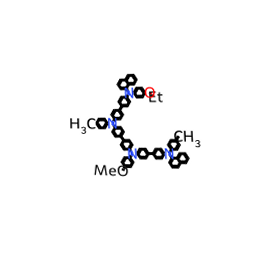 CCOc1ccc(N(c2ccc(-c3ccc(N(c4ccc(C)cc4)c4ccc(-c5ccc(N(c6ccc(OC)cc6)c6ccc(-c7ccc(N(c8ccc(C)cc8)c8cccc9ccccc89)cc7)cc6)cc5)cc4)cc3)cc2)c2cccc3ccccc23)cc1